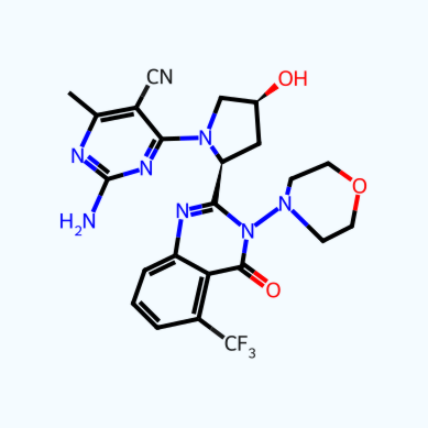 Cc1nc(N)nc(N2C[C@@H](O)C[C@H]2c2nc3cccc(C(F)(F)F)c3c(=O)n2N2CCOCC2)c1C#N